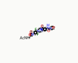 CC(=O)NC[C@H]1CN(c2cc(F)c(N3CCn4c(=O)c5cc(NC(=O)N6CCOCC6)ccc5n4CC3)c(F)c2)C(=O)O1